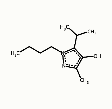 CCCCn1nc(C)c(O)c1C(C)C